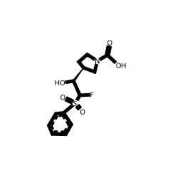 O=C(O)N1CC[C@H](C(O)C(F)S(=O)(=O)c2ccccc2)C1